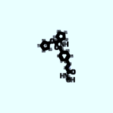 O=C(/C=C/c1ccc(CNC2(C(=O)OC3CCCC3)CCCC2)cc1)NO